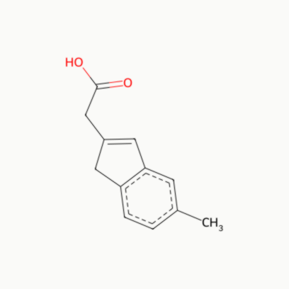 Cc1ccc2c(c1)C=C(CC(=O)O)C2